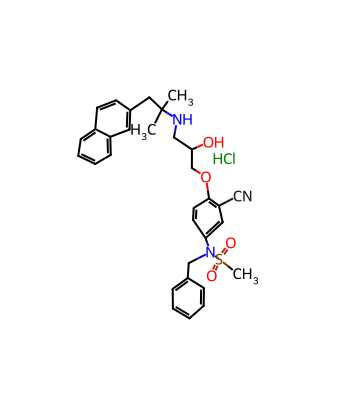 CC(C)(Cc1ccc2ccccc2c1)NCC(O)COc1ccc(N(Cc2ccccc2)S(C)(=O)=O)cc1C#N.Cl